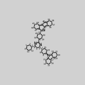 c1ccc(-c2cc(-c3ccc(-n4c5ccccc5c5ccccc54)cc3)nc(-c3ccc(-c4nc5c6ccccc6sc5c5ccccc45)cc3)n2)cc1